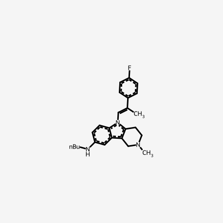 CCCCNc1ccc2c(c1)c1c(n2C=C(C)c2ccc(F)cc2)CCN(C)C1